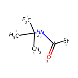 CCC(=O)NC(C)(C)C(F)(F)F